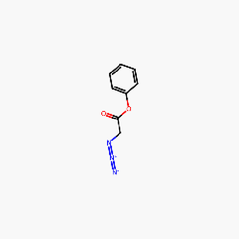 [N-]=[N+]=NCC(=O)Oc1ccccc1